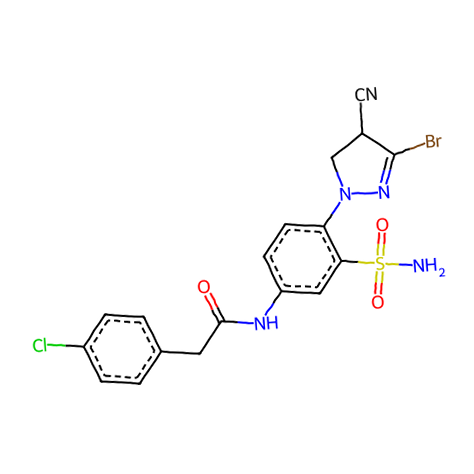 N#CC1CN(c2ccc(NC(=O)Cc3ccc(Cl)cc3)cc2S(N)(=O)=O)N=C1Br